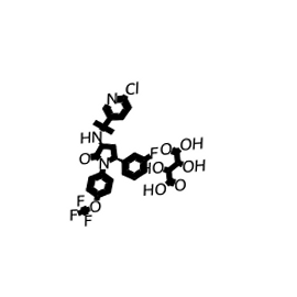 CC(C)(N[C@H]1C[C@@H](c2cccc(F)c2)N(c2ccc(OC(F)(F)F)cc2)C1=O)c1ccc(Cl)nc1.O=C(O)C(O)C(O)C(=O)O